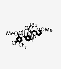 COC(=O)c1cc(Cl)c(C(F)(F)F)cc1Nc1ccc(F)c(F)c1CN(CCc1nc(OC)ccc1[N+](=O)[O-])C(=O)OC(C)(C)C